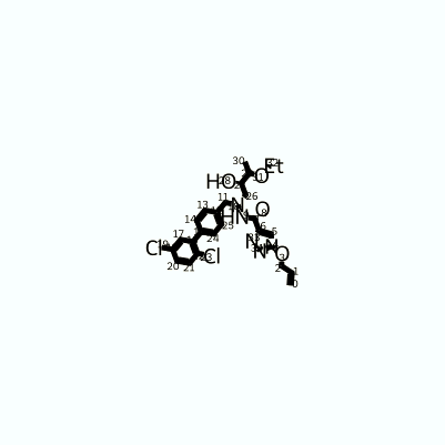 C=CCOn1cc(C(=O)NN(Cc2ccc(-c3cc(Cl)ccc3Cl)cc2)C[C@@H](O)C(C)OCC)nn1